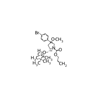 C=CCOC(=O)N1C[C@](OC)(c2ccc(Br)cc2)C[C@H]1CO[Si](C)(C)C(C)(C)C